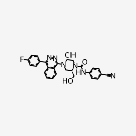 Cl.N#Cc1ccc(NC(=O)N2CCN(c3nnc(-c4ccc(F)cc4)c4ccccc34)C[C@@H]2CO)cc1